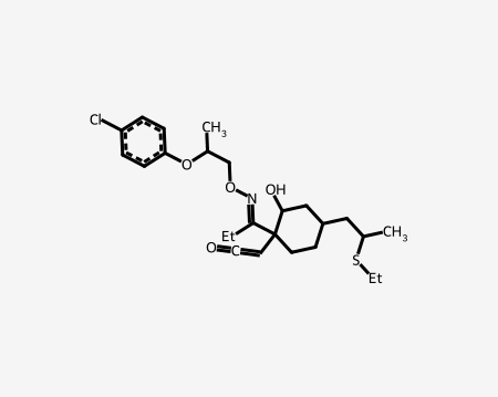 CCSC(C)CC1CCC(C=C=O)(C(CC)=NOCC(C)Oc2ccc(Cl)cc2)C(O)C1